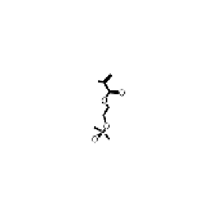 C=C(C)C(=O)OCCOP(C)(C)=O